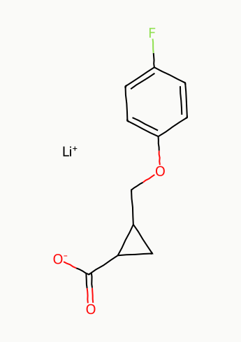 O=C([O-])C1CC1COc1ccc(F)cc1.[Li+]